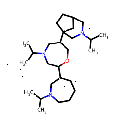 CC(C)N1CCCCC(C2CN(C(C)C)CC(C34CCC(CN(C(C)C)C3)C4)CO2)C1